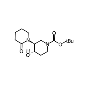 CC(C)(C)OC(=O)N1CC[C@H](O)[C@@H](N2CCCCC2=O)C1